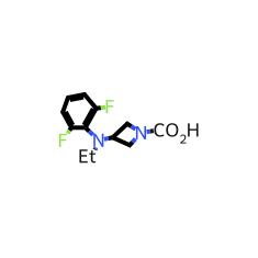 CCN(c1c(F)cccc1F)C1CN(C(=O)O)C1